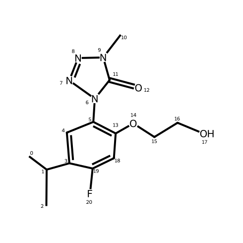 CC(C)c1cc(-n2nnn(C)c2=O)c(OCCO)cc1F